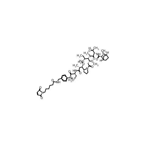 CC[C@H](C)[C@@H]([C@@H](CC(=O)N1CCC[C@H]1[C@H](OC)[C@@H](C)C(=O)N[C@@H](CP)C(=O)N(C)c1ccc(CNC(=O)CCCCCN2C(=O)C=CC2=O)cc1)OC)N(C)C(=O)[C@@H](NC(=O)[C@@H]1[C@H]2CC[C@H](C2)N1C)C(C)C